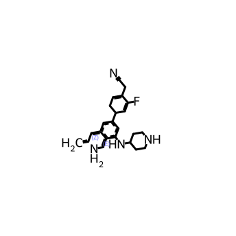 C=C/C=c1/cc(C2C=C(F)C(CC#N)=CC2)cc(NC2CCNCC2)/c1=C/N